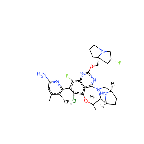 Cc1cc(N)nc(-c2c(Cl)c3c4c(nc(OC[C@@]56CCCN5C[C@H](F)C6)nc4c2F)N2C[C@H]4CC[C@H](N4)[C@H]2[C@H](C)O3)c1C(F)(F)F